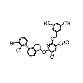 N#Cc1cc(C#N)cc(COc2nc(OC3CCc4c(-c5cccc(Br)c5Cl)cccc43)c(Cl)cc2C=O)c1